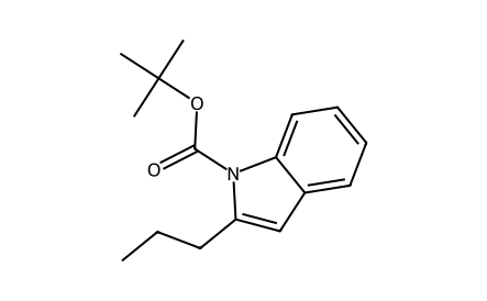 CCCc1cc2ccccc2n1C(=O)OC(C)(C)C